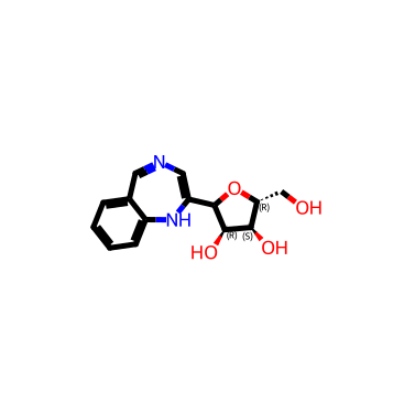 OC[C@H]1OC(C2=CN=Cc3ccccc3N2)[C@H](O)[C@@H]1O